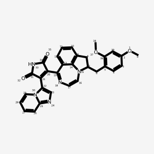 COc1ccc(CC2Cc3cccc4c3N2C=CN=C4C2=C(c3cnc4ccccn34)C(=O)NC2=O)c(OC)c1